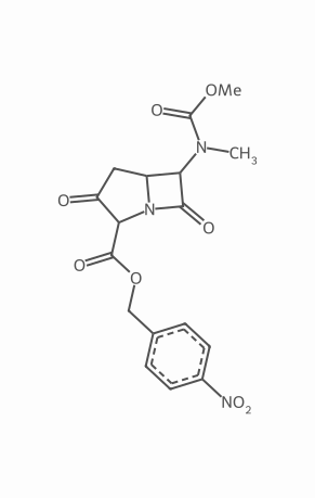 COC(=O)N(C)C1C(=O)N2C(C(=O)OCc3ccc([N+](=O)[O-])cc3)C(=O)CC12